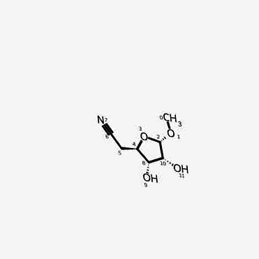 CO[C@H]1O[C@H](CC#N)[C@@H](O)[C@H]1O